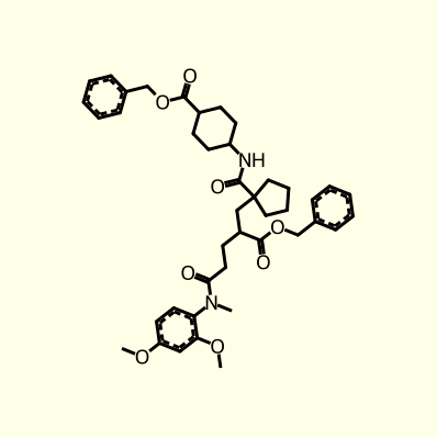 COc1ccc(N(C)C(=O)CCC(CC2(C(=O)NC3CCC(C(=O)OCc4ccccc4)CC3)CCCC2)C(=O)OCc2ccccc2)c(OC)c1